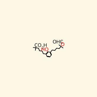 CC(C)(CCCCc1cccc(CCCCC(C)(C)C(=O)O)c1O)OC=O